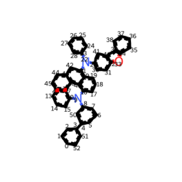 c1ccc(-c2cccc(N(c3ccccc3)c3cccc4c(N(c5ccccc5)c5ccc6oc7ccccc7c6c5)cc5ccccc5c34)c2)cc1